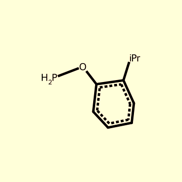 CC(C)c1ccccc1OP